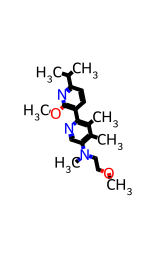 COCCN(C)c1cnc(-c2ccc(C(C)C)nc2OC)c(C)c1C